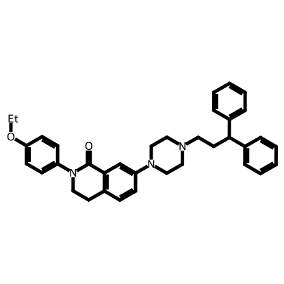 CCOc1ccc(N2CCc3ccc(N4CCN(CCC(c5ccccc5)c5ccccc5)CC4)cc3C2=O)cc1